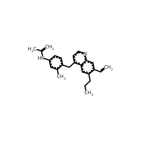 C=Cc1cc2nccc(Cc3ccc(NC(=C)C)cc3C)c2cc1CCC